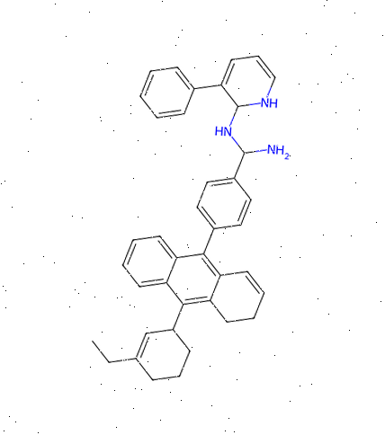 CCC1=CC(c2c3c(c(-c4ccc(C(N)NC5NC=CC=C5c5ccccc5)cc4)c4ccccc24)C=CCC3)CCC1